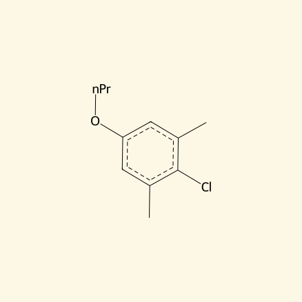 [CH2]CCOc1cc(C)c(Cl)c(C)c1